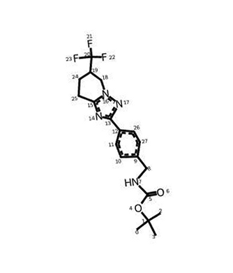 CC(C)(C)OC(=O)NCc1ccc(-c2nc3n(n2)CC(C(F)(F)F)CC3)cc1